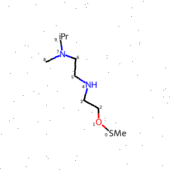 CSOCCNCCN(C)C(C)C